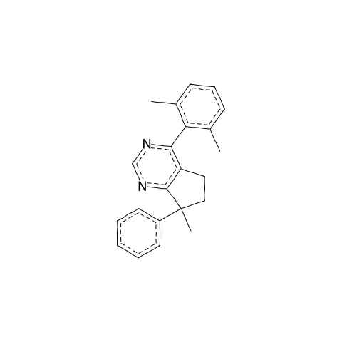 Cc1cccc(C)c1-c1ncnc2c1CCC2(C)c1ccccc1